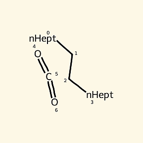 CCCCCCCCCCCCCCCC.O=C=O